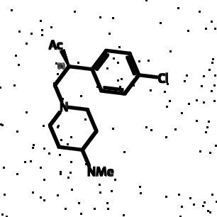 CNC1CCN(C[C@@H](C(C)=O)c2ccc(Cl)cc2)CC1